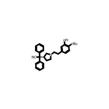 CCCCc1ccc(CCN2CC[C@@H](C(C#N)(c3ccccc3)c3ccccc3)C2)cc1CCC